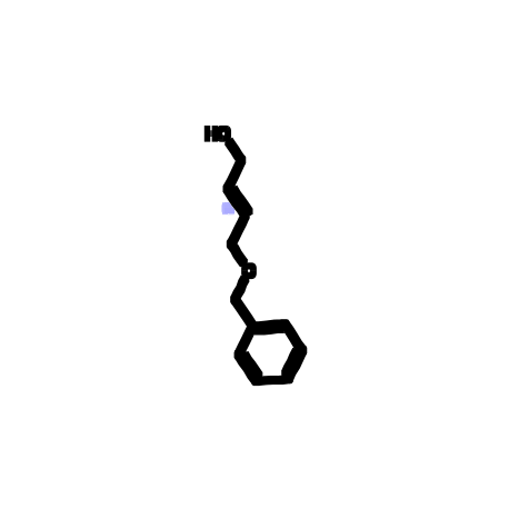 OC/C=C/COCc1ccccc1